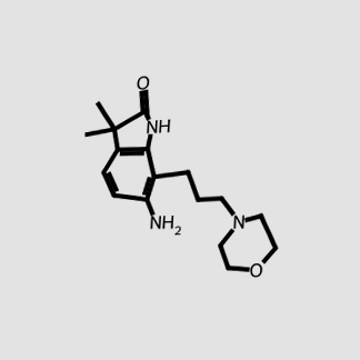 CC1(C)C(=O)Nc2c1ccc(N)c2CCCN1CCOCC1